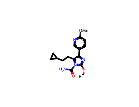 CCOc1nc(-c2ccc(OC)nc2)c(CCC2CC2)n1C(N)=O